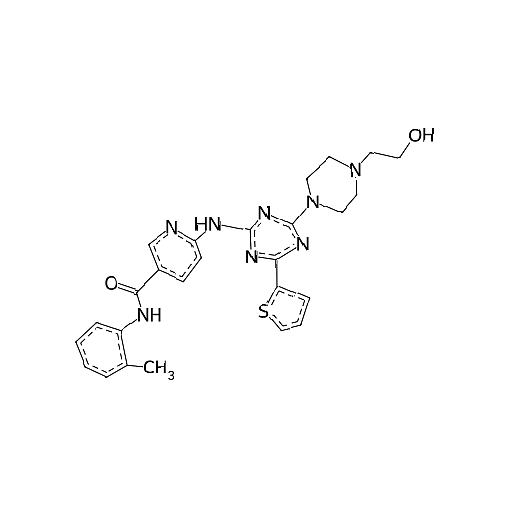 Cc1ccccc1NC(=O)c1ccc(Nc2nc(-c3cccs3)nc(N3CCN(CCO)CC3)n2)nc1